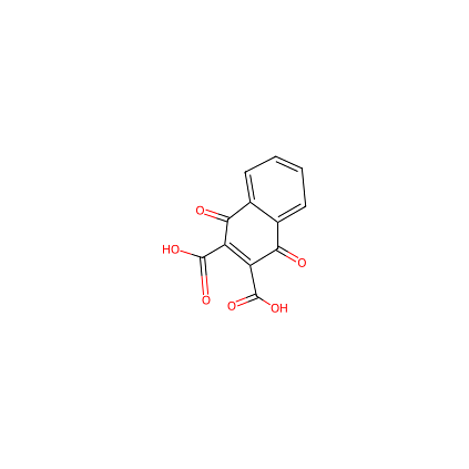 O=C(O)C1=C(C(=O)O)C(=O)c2ccccc2C1=O